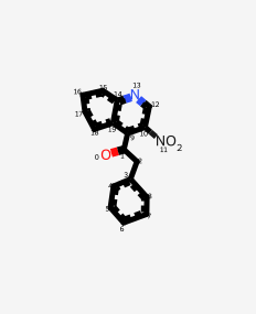 O=C(Cc1ccccc1)c1c([N+](=O)[O-])cnc2ccccc12